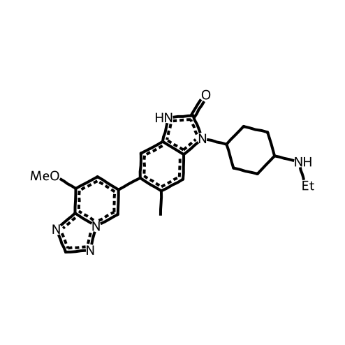 CCNC1CCC(n2c(=O)[nH]c3cc(-c4cc(OC)c5ncnn5c4)c(C)cc32)CC1